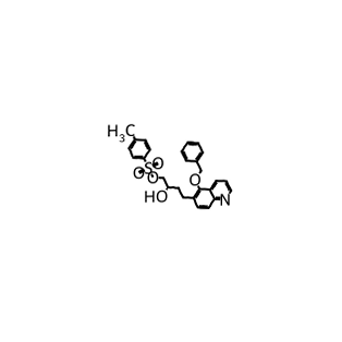 Cc1ccc(S(=O)(=O)OC[C@H](O)CCc2ccc3ncccc3c2OCc2ccccc2)cc1